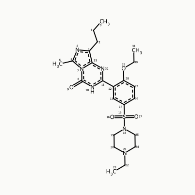 CCCc1nc(C)n2c(=O)[nH]c(-c3cc(S(=O)(=O)N4CCN(CC)CC4)ccc3OCC)nc12